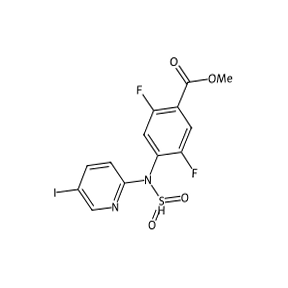 COC(=O)c1cc(F)c(N(c2ccc(I)cn2)[SH](=O)=O)cc1F